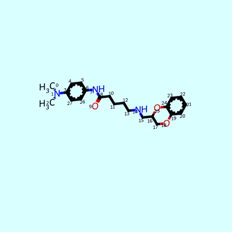 CN(C)c1ccc(NC(=O)CCCCNCC2COc3ccccc3O2)cc1